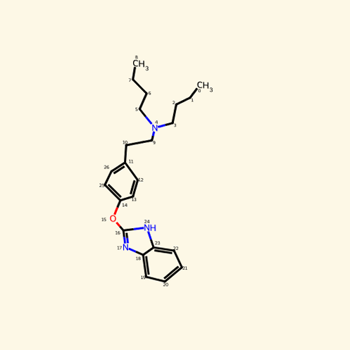 CCCCN(CCCC)CCc1ccc(Oc2nc3ccccc3[nH]2)cc1